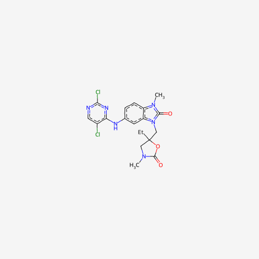 CCC1(Cn2c(=O)n(C)c3ccc(Nc4nc(Cl)ncc4Cl)cc32)CN(C)C(=O)O1